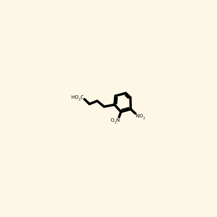 O=C(O)CCCc1cccc([N+](=O)[O-])c1[N+](=O)[O-]